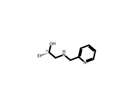 CC[C@H](O)CNCc1ccccn1